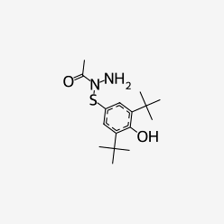 CC(=O)N(N)Sc1cc(C(C)(C)C)c(O)c(C(C)(C)C)c1